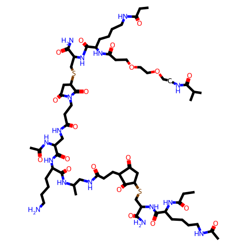 CCC(=O)NCCCCC(NC(=O)CCOCCOCCNC(=O)C(C)C)C(=O)NC(CSC1CC(=O)N(CCC(=O)NCC(NC(C)=O)C(=O)NC(CCCCN)C(=O)NC(C)CNC(=O)CCC2C(=O)CC(SCC(NC(=O)C(CCCCNC(C)=O)NC(=O)CC)C(N)=O)C2=O)C1=O)C(N)=O